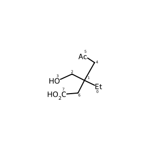 CCC(CO)(CC(C)=O)CC(=O)O